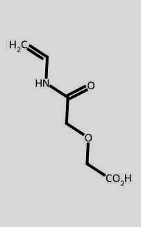 C=CNC(=O)COCC(=O)O